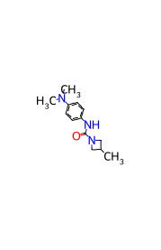 CC1CN(C(=O)Nc2ccc(N(C)C)cc2)C1